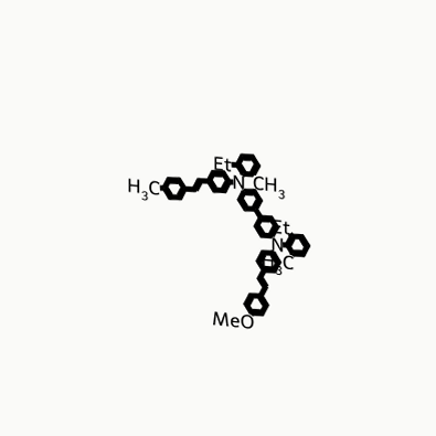 CCc1cccc(C)c1N(c1ccc(/C=C/c2ccc(C)cc2)cc1)c1ccc(-c2ccc(N(c3ccc(/C=C/c4ccc(OC)cc4)cc3)c3c(C)cccc3CC)cc2)cc1